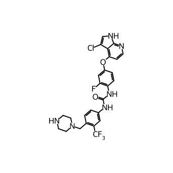 O=C(Nc1ccc(CN2CCNCC2)c(C(F)(F)F)c1)Nc1ccc(Oc2ccnc3[nH]cc(Cl)c23)cc1F